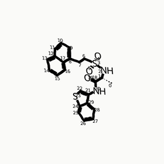 C[C@@H](NS(=O)(=O)CCc1cccc2ccccc12)C(=O)Nc1csc2ccccc12